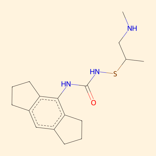 CNCC(C)SNC(=O)Nc1c2c(cc3c1CCC3)CCC2